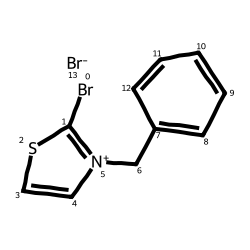 Brc1scc[n+]1Cc1ccccc1.[Br-]